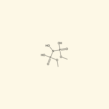 COP(=O)(O)N(O)P(=O)(O)OC